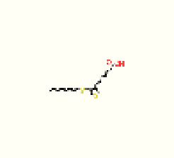 CCCCCC=CCSC[C@@H]1CSC[C@@H]1CCCCCCC(=O)O